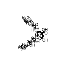 O.O.O.O.O.O.O.O.O.O=C(O)CC(O)(CC(=O)O)C(=O)O.O=[N+]([O-])O.O=[N+]([O-])O.O=[N+]([O-])O.[Fe]